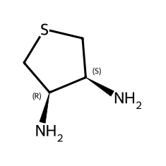 N[C@@H]1CSC[C@@H]1N